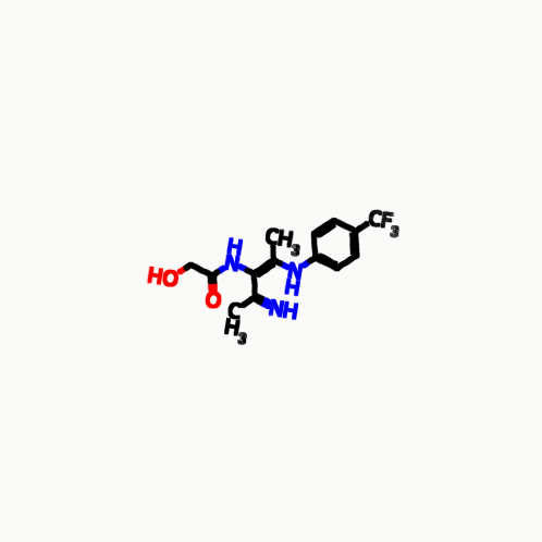 CC(=N)/C(NC(=O)CO)=C(/C)Nc1ccc(C(F)(F)F)cc1